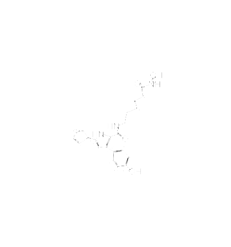 O=C(CCCCCNC(=O)c1[nH]c(C2C=CSC2)cc1-c1ccc(O)cc1)NO